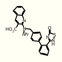 CCCN(Cc1ccc(-c2ccccc2-c2nc(=O)s[nH]2)cc1)c1nc2ccccc2cc1C(=O)O